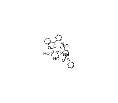 C/C(O)=C(/C(=O)OC(c1ccccc1)c1ccccc1)N1C(O)C(NC(=O)Cc2ccccc2)C1SS(=O)(=O)c1ccc(C)cc1